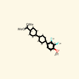 CCOc1ccc(C2CCC(C3CCC(C(OC)OC)CC3)CC2)c(F)c1F